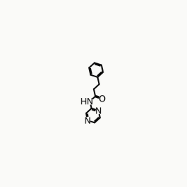 O=C(CCc1ccccc1)Nc1cnccn1